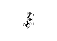 CC(C)C(=O)C(O)CNCCN